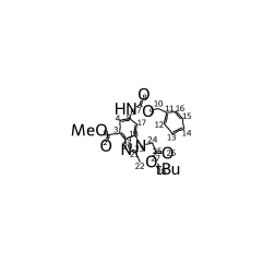 COC(=O)c1cc(NC(=O)OCc2ccccc2)cc2c1nc(C)n2CC(=O)OC(C)(C)C